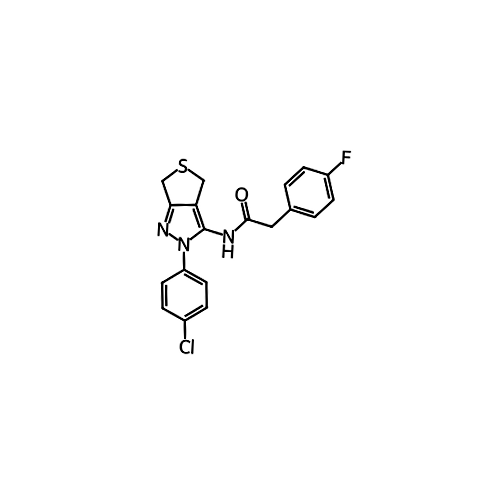 O=C(Cc1ccc(F)cc1)Nc1c2c(nn1-c1ccc(Cl)cc1)CSC2